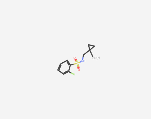 O=C(O)C1(CNS(=O)(=O)c2ccccc2F)CC1